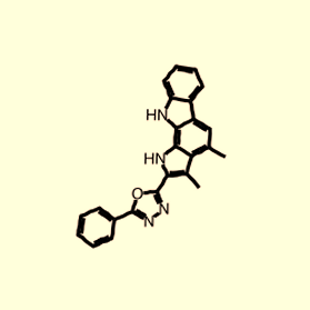 Cc1cc2c3ccccc3[nH]c2c2[nH]c(-c3nnc(-c4ccccc4)o3)c(C)c12